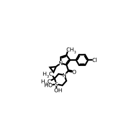 Cc1cn(C2CC2)c(C(=O)N2CCS(O)(O)C(C)(C)C2)c1-c1ccc(Cl)cc1